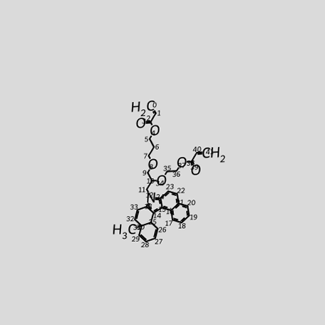 C=CC(=O)OCCCOCC(Cn1c2c(c3c4ccccc4ccc31)C1C=CC=CC1(C)C=C2)OCCOC(=O)C=C